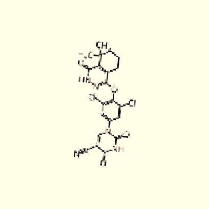 CC1(C)CCCc2c(Oc3c(Cl)cc(-n4cc(C#N)c(=O)[nH]c4=O)cc3Cl)n[nH]c(=O)c21